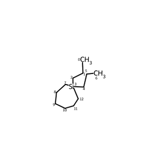 CCC[Si]1(CCC)CCCCCC1